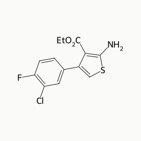 CCOC(=O)c1c(-c2ccc(F)c(Cl)c2)csc1N